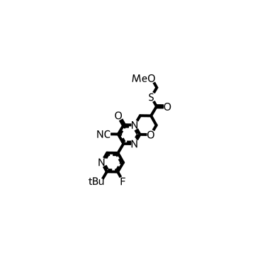 COCSC(=O)C1COc2nc(-c3cnc(C(C)(C)C)c(F)c3)c(C#N)c(=O)n2C1